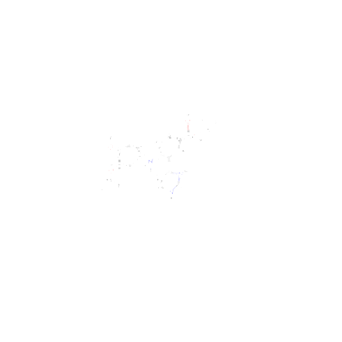 COc1ccc(N(Cc2cncnc2)c2ccc(C(=O)OC(C)(C)C)cc2)cc1OC(C)C